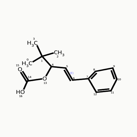 CC(C)(C)C(/C=C/c1ccccc1)OC(=O)O